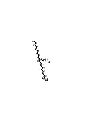 CCCCCCCCCCCCCCCCCCOCl.[SnH4]